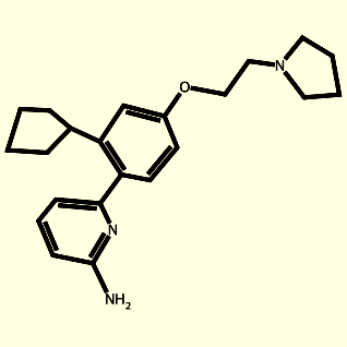 Nc1cccc(-c2ccc(OCCN3CCCC3)cc2C2CCCC2)n1